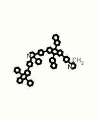 Cc1cccnc1-c1ccc(-c2ccc3c(-c4ccc5ccccc5c4)c4ccc(-c5ccc(-c6ccnc(-c7ccc(-c8ccc9c(-c%10ccccc%10)c%10ccccc%10c(-c%10ccccc%10)c9c8)cc7)c6-c6ccccc6)cc5)cc4c(-c4ccc5ccccc5c4)c3c2)cc1